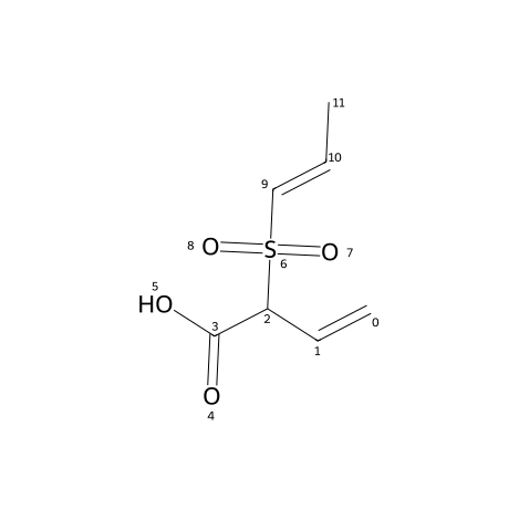 C=CC(C(=O)O)S(=O)(=O)C=CC